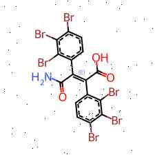 NC(=O)/C(=C(/C(=O)O)c1ccc(Br)c(Br)c1Br)c1ccc(Br)c(Br)c1Br